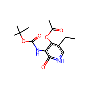 CCc1c[nH]c(=O)c(NC(=O)OC(C)(C)C)c1OC(C)=O